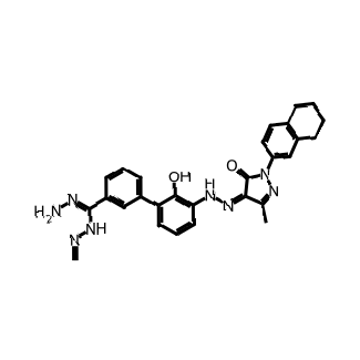 C=NN/C(=N\N)c1cccc(-c2cccc(N/N=C3\C(=O)N(c4ccc5c(c4)CCCC5)N=C3C)c2O)c1